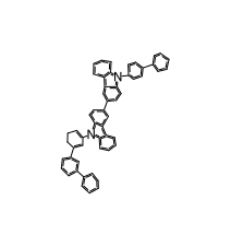 C1=C(c2cccc(-c3ccccc3)c2)CCC=C1n1c2ccccc2c2cc(-c3ccc4c(c3)c3ccccc3n4-c3ccc(-c4ccccc4)cc3)ccc21